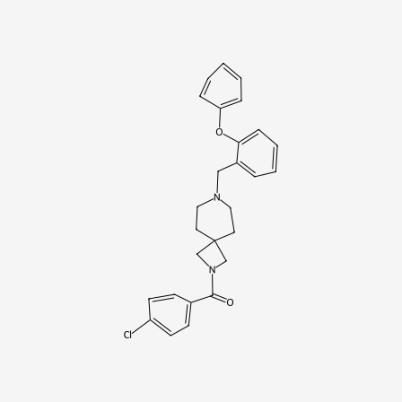 O=C(c1ccc(Cl)cc1)N1CC2(CCN(Cc3ccccc3Oc3ccccc3)CC2)C1